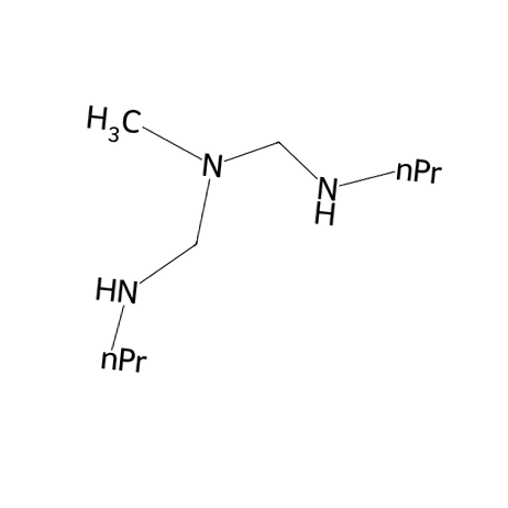 CCCNCN(C)CNCCC